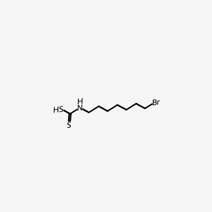 S=C(S)NCCCCCCCBr